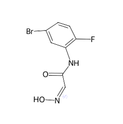 O=C(/C=N\O)Nc1cc(Br)ccc1F